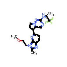 COCCn1c(C)nc2ccc(-c3ccn4nc(N[C@H](C)C(F)(F)F)ncc34)nc21